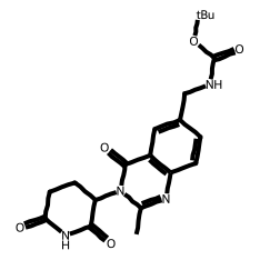 Cc1nc2ccc(CNC(=O)OC(C)(C)C)cc2c(=O)n1C1CCC(=O)NC1=O